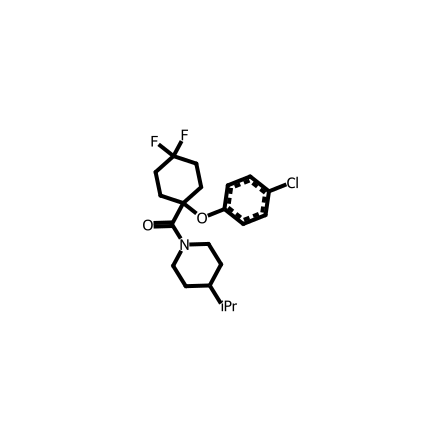 CC(C)C1CCN(C(=O)C2(Oc3ccc(Cl)cc3)CCC(F)(F)CC2)CC1